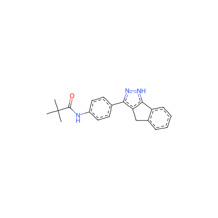 CC(C)(C)C(=O)Nc1ccc(-c2n[nH]c3c2Cc2ccccc2-3)cc1